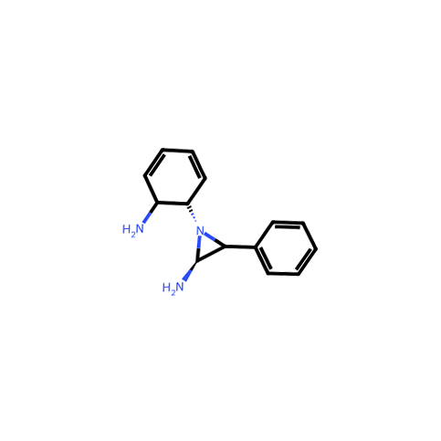 NC1C=CC=CC1[N@]1C(c2ccccc2)[C@H]1N